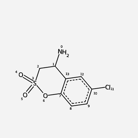 NC1CS(=O)(=O)Oc2ccc(Cl)cc21